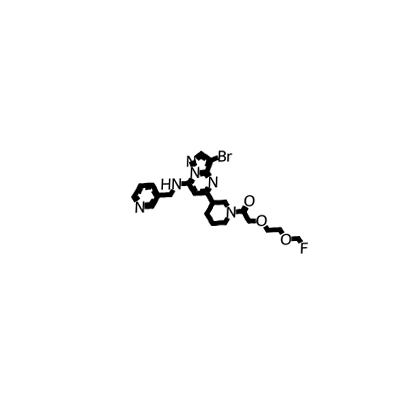 O=C(COCCOCF)N1CCCC(c2cc(NCc3cccnc3)n3ncc(Br)c3n2)C1